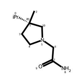 CC(C)[C@@]1(C)CCN(CC(N)=O)C1